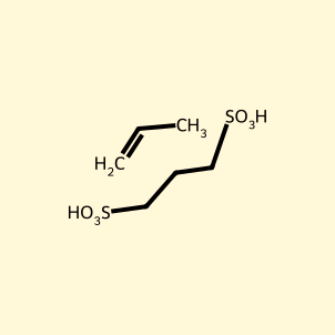 C=CC.O=S(=O)(O)CCCS(=O)(=O)O